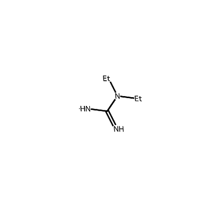 CCN(CC)C([NH])=N